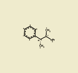 CCCN(C)[C@H](C)c1ccccc1